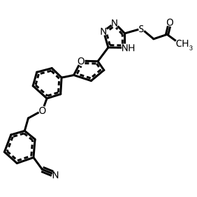 CC(=O)CSc1nnc(-c2ccc(-c3cccc(OCc4cccc(C#N)c4)c3)o2)[nH]1